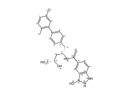 Cc1ccc(Cl)cc1-c1ccc(C[C@@H](C[C@H](O)C(=O)O)NC(=O)c2ccc3c(c2)N(O)NN3)cc1